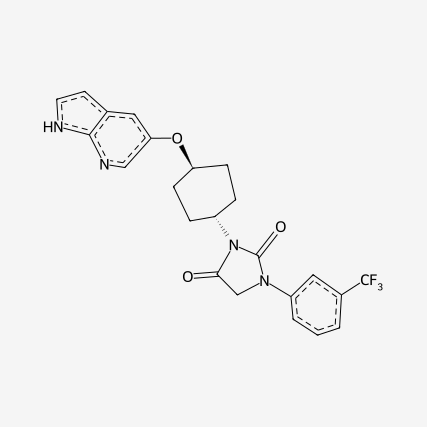 O=C1CN(c2cccc(C(F)(F)F)c2)C(=O)N1[C@H]1CC[C@H](Oc2cnc3[nH]ccc3c2)CC1